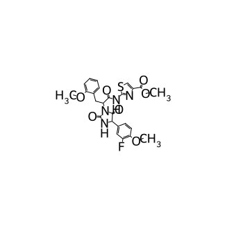 COC(=O)c1csc(NC(=O)C(Cc2ccccc2OC)N2C(=O)NC(c3ccc(OC)c(F)c3)C2=O)n1